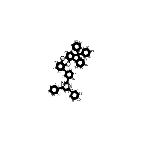 c1ccc(-c2cc(-c3ccccc3)nc(-c3cccc(-c4cccc5c4Oc4c(ccc6c4-c4ccccc4C6(c4ccccc4)c4ccccc4)O5)c3)n2)cc1